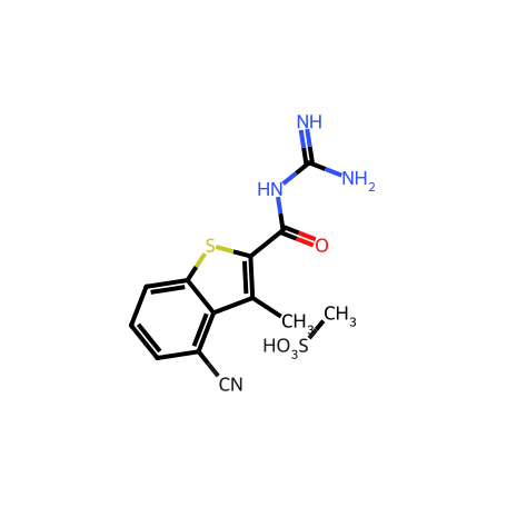 CS(=O)(=O)O.Cc1c(C(=O)NC(=N)N)sc2cccc(C#N)c12